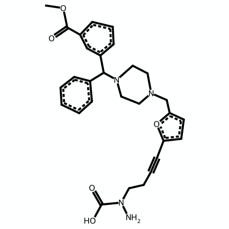 COC(=O)c1cccc(C(c2ccccc2)N2CCN(Cc3ccc(C#CCCN(N)C(=O)O)o3)CC2)c1